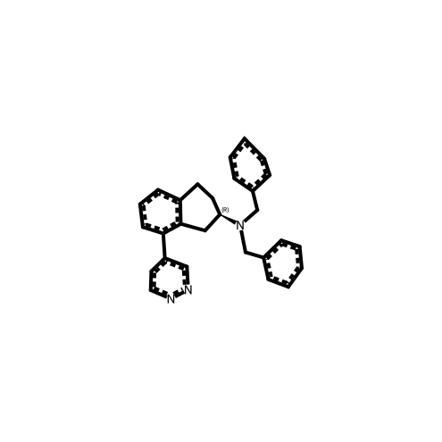 c1ccc(CN(Cc2ccccc2)[C@@H]2CCc3cccc(-c4ccnnc4)c3C2)cc1